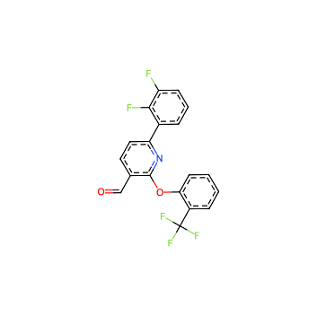 O=Cc1ccc(-c2cccc(F)c2F)nc1Oc1ccccc1C(F)(F)F